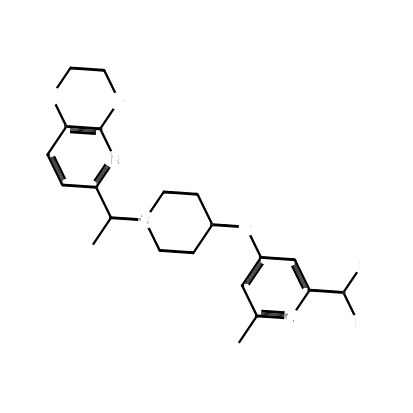 Cc1cc(OC2CCN(C(C)c3ccc4c(n3)OCCO4)CC2)cc(C(F)F)n1